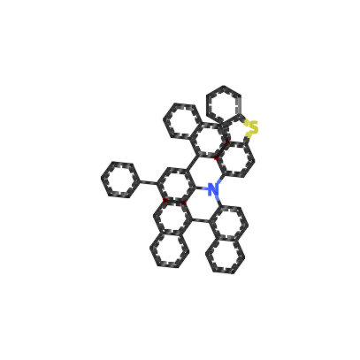 c1ccc(-c2ccc(N(c3ccc4sc5ccccc5c4c3)c3ccc4ccccc4c3-c3cccc4ccccc34)c(-c3cccc4ccccc34)c2)cc1